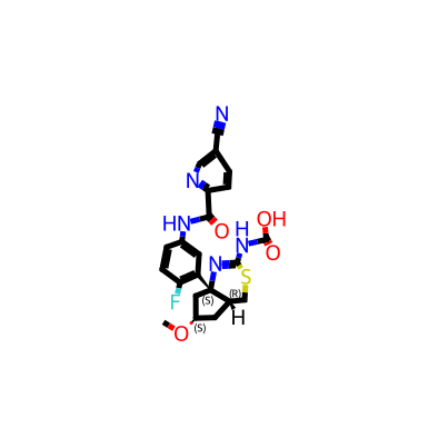 CO[C@H]1C[C@H]2CSC(NC(=O)O)=N[C@@]2(c2cc(NC(=O)c3ccc(C#N)cn3)ccc2F)C1